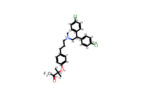 CN(CCCc1ccc(OC(C)(C)C(=O)C(F)(F)F)cc1)CC(c1ccc(Cl)cc1)c1ccc(Cl)cc1